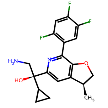 C[C@@H]1COc2c1cc([C@@](O)(CN)C1CC1)nc2-c1cc(F)c(F)cc1F